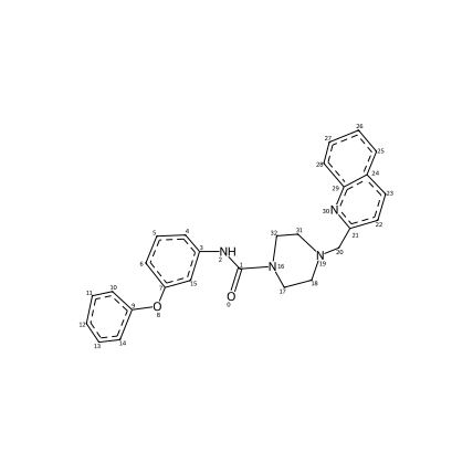 O=C(Nc1cccc(Oc2ccccc2)c1)N1CCN(Cc2ccc3ccccc3n2)CC1